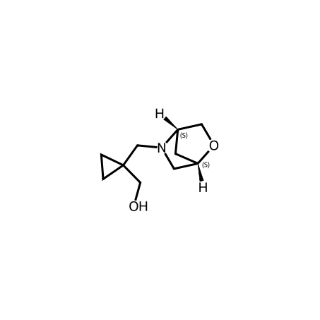 OCC1(CN2C[C@@H]3C[C@H]2CO3)CC1